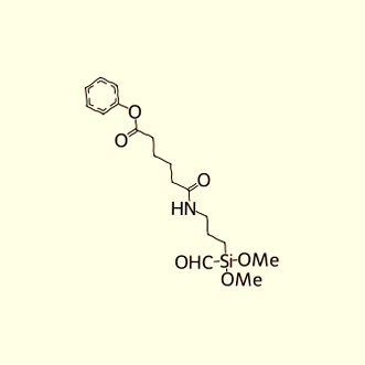 CO[Si](C=O)(CCCNC(=O)CCCCC(=O)Oc1ccccc1)OC